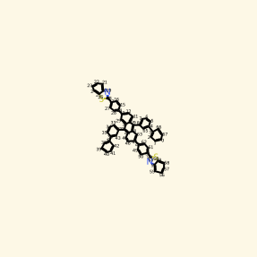 c1ccc(-c2cccc(-c3c4ccc(-c5ccc(-c6nc7ccccc7s6)cc5)cc4c(-c4cccc(-c5ccccc5)c4)c4ccc(-c5ccc(-c6nc7ccccc7s6)cc5)cc34)c2)cc1